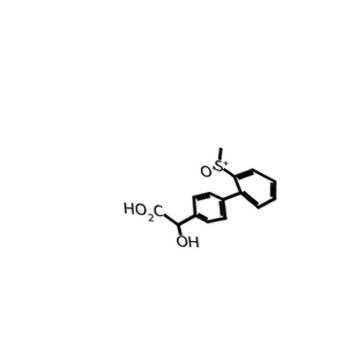 C[S+]([O-])c1ccccc1-c1ccc(C(O)C(=O)O)cc1